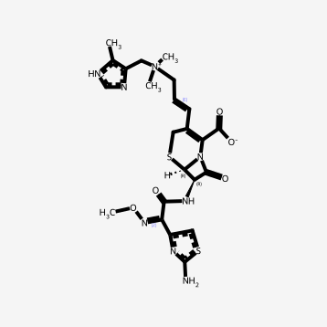 CO/N=C(\C(=O)N[C@@H]1C(=O)N2C(C(=O)[O-])=C(/C=C/C[N+](C)(C)Cc3nc[nH]c3C)CS[C@H]12)c1csc(N)n1